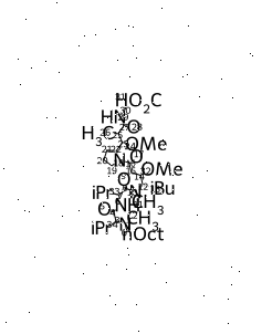 CCCCCCCCN(C)[C@H](C(=O)N[C@H](C(=O)N(C)[C@@H]([C@@H](C)CC)[C@@H](CC(=O)N1CCC[C@H]1[C@H](OC)[C@@H](C)C(=O)NCC(=O)O)OC)C(C)C)C(C)C